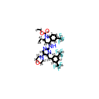 CCOC(=O)N1c2ccc(C(F)(F)F)cc2[C@@H](Nc2ncc(N3CCOCC3)c(Cc3cc(C(F)(F)F)cc(C(F)(F)F)c3)n2)C[C@H]1CC